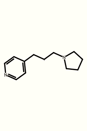 [CH](Cc1ccncc1)CN1CCCC1